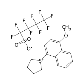 COc1ccc([S+]2CCCC2)c2ccccc12.O=S(=O)([O-])C(F)(F)C(F)(F)C(F)(F)C(F)(F)F